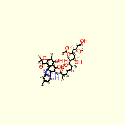 CO[C@@H](/C=C/O)[C@@H](C)C(OC(C)=O)[C@H](C)[C@H](O)[C@H](C)[C@@H](O)[C@@H](C)/C=C/C=C(/C)C(=O)Nc1c(O)c2c(O)c(C)c3c(c2c2nc4cc(C)ccn4c12)C(=O)C(C)(C)O3